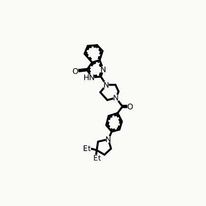 CCC1(CC)CCN(c2ccc(C(=O)N3CCN(c4nc5ccccc5c(=O)[nH]4)CC3)cc2)C1